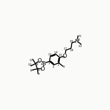 Cc1cc(B2OC(C)(C)C(C)(C)O2)ccc1OCCCN(C)C